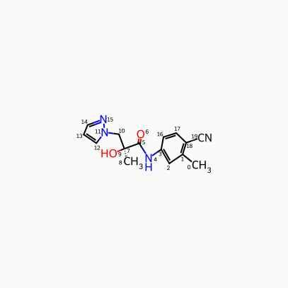 Cc1cc(NC(=O)[C@@](C)(O)Cn2cccn2)ccc1C#N